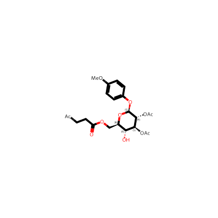 COc1ccc(O[C@@H]2O[C@H](COC(=O)CCC(C)=O)[C@@H](O)[C@H](OC(C)=O)[C@H]2OC(C)=O)cc1